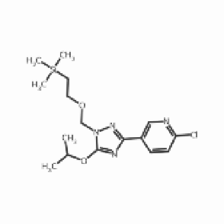 CC(C)Oc1nc(-c2ccc(Cl)nc2)nn1COCC[Si](C)(C)C